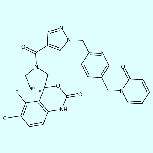 O=C1Nc2ccc(Cl)c(F)c2[C@]2(CCN(C(=O)c3cnn(Cc4ccc(Cn5ccccc5=O)cn4)c3)C2)O1